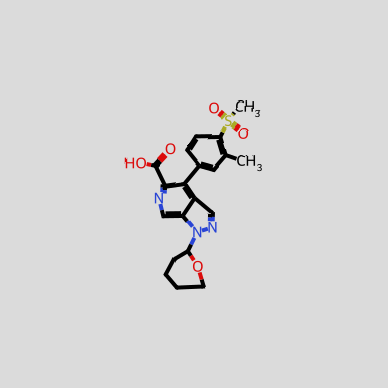 Cc1cc(-c2c(C(=O)O)ncc3c2cnn3C2CCCCO2)ccc1S(C)(=O)=O